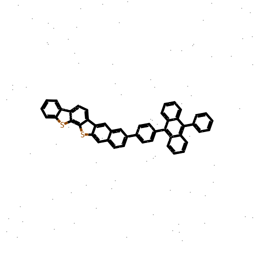 c1ccc(-c2c3ccccc3c(-c3ccc(-c4ccc5cc6sc7c(ccc8c9ccccc9sc87)c6cc5c4)cc3)c3ccccc23)cc1